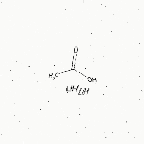 CC(=O)O.[LiH].[LiH]